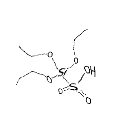 CCO[Si](OCC)(OCC)S(=O)(=O)O